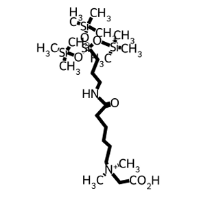 C[N+](C)(CCCCCC(=O)NCCC[Si](O[Si](C)(C)C)(O[Si](C)(C)C)O[Si](C)(C)C)CC(=O)O